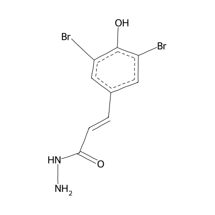 NNC(=O)C=Cc1cc(Br)c(O)c(Br)c1